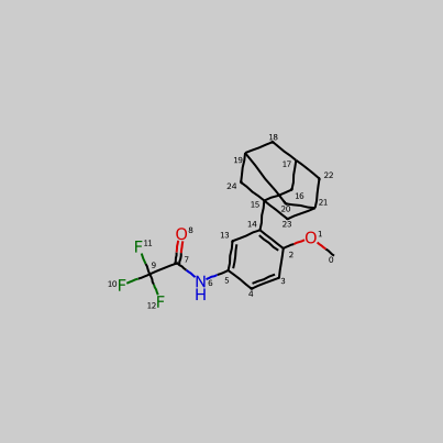 COc1ccc(NC(=O)C(F)(F)F)cc1C12CC3CC(CC(C3)C1)C2